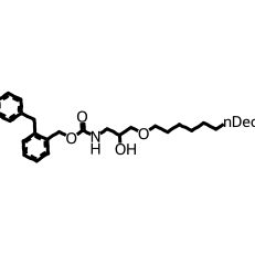 CCCCCCCCCCCCCCCCOCC(O)CNC(=O)OCc1ccccc1Cc1ccccc1